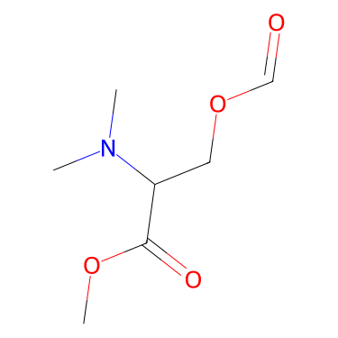 COC(=O)C(COC=O)N(C)C